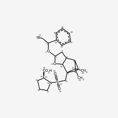 CC(C)(C)C(OC1CC2C3CCC(CS(=O)(=O)N4CCC[C@H]4C(=O)O)(C2O1)C3(C)C)c1ccccc1